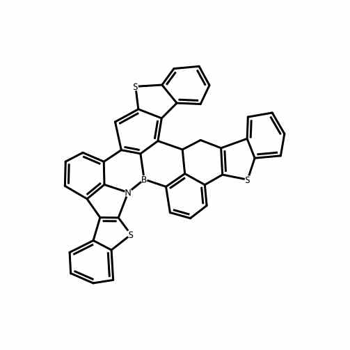 c1cc2c3c(c1)-c1sc4ccccc4c1CC3c1c3c(cc4sc5ccccc5c14)-c1cccc4c5c6ccccc6sc5n(c14)B23